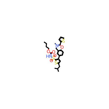 CCCCOC(=O)NS(=O)(=O)c1sc(CC(C)C)cc1-c1cccc(CN(C)C(=O)c2cccs2)c1